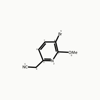 COc1nc(CC#N)ccc1Br